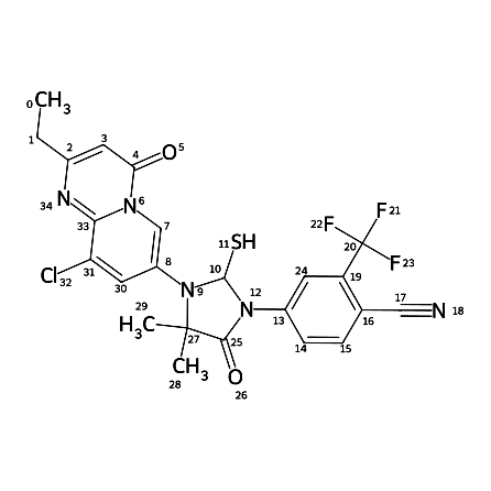 CCc1cc(=O)n2cc(N3C(S)N(c4ccc(C#N)c(C(F)(F)F)c4)C(=O)C3(C)C)cc(Cl)c2n1